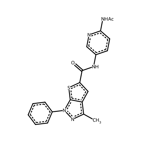 CC(=O)Nc1ccc(NC(=O)c2cc3c(C)nn(-c4ccccc4)c3s2)cn1